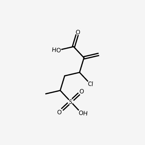 C=C(C(=O)O)C(Cl)CC(C)S(=O)(=O)O